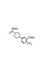 CNC(=O)N1CCN(c2ccc(C)c(OC)c2)CC1